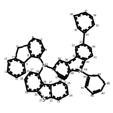 c1c(N(c2cccc3c2-c2ccccc2C3)c2cccc3sc4ccccc4c23)cc2c3cc(-c4ccccc4)ccc3n(C3=CC=CCC3)c2c#1